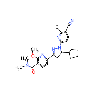 COc1nc(C2=NN(c3ccc(C#N)c(C)n3)[C@@H](C3CCCC3)C2)ccc1C(=O)N(C)C